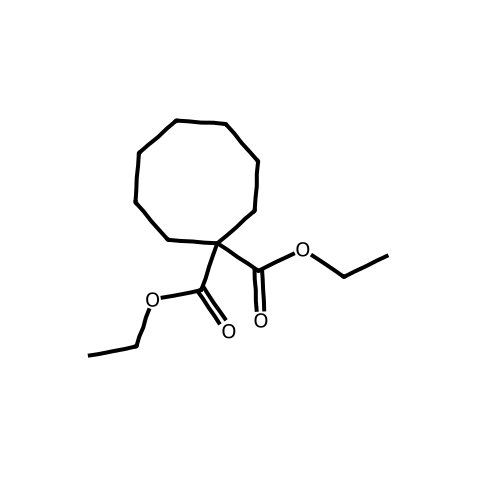 CCOC(=O)C1(C(=O)OCC)CCCCCCC1